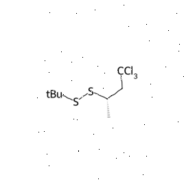 C[C@@H](CC(Cl)(Cl)Cl)SSC(C)(C)C